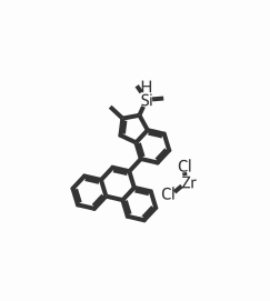 CC1=Cc2c(-c3cc4ccccc4c4ccccc34)cccc2C1[SiH](C)C.[Cl][Zr][Cl]